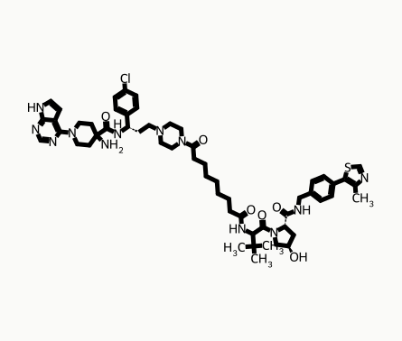 Cc1ncsc1-c1ccc(CNC(=O)[C@@H]2C[C@@H](O)CN2C(=O)C(NC(=O)CCCCCCCC(=O)N2CCN(CC[C@H](NC(=O)C3(N)CCN(c4ncnc5[nH]ccc45)CC3)c3ccc(Cl)cc3)CC2)C(C)(C)C)cc1